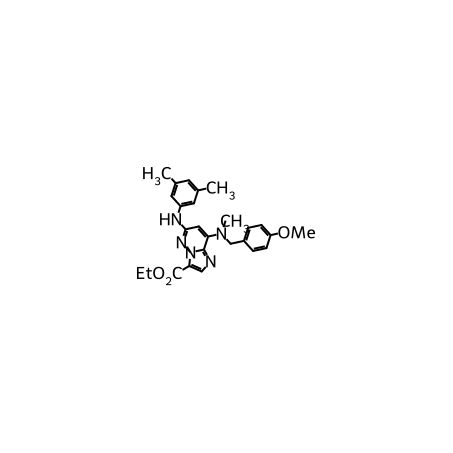 CCOC(=O)c1cnc2c(N(C)Cc3ccc(OC)cc3)cc(Nc3cc(C)cc(C)c3)nn12